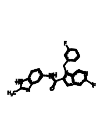 CC1=Nc2cc(NC(=O)c3cc4cc(F)ncc4n3Cc3cccc(F)c3)ccc2[SH]1